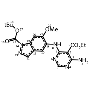 CCOC(=O)c1c(N)ncnc1Nc1cc2cnn(C(=O)OC(C)(C)C)c2cc1OC